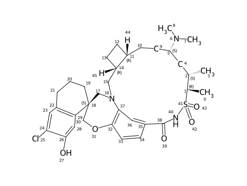 C[C@@H]1[C@@H](C)C[C@@H](N(C)C)CC[C@H]2CC[C@H]2CN2C[C@@]3(CCCc4cc(Cl)c(O)cc43)COc3ccc(cc32)C(=O)NS1(=O)=O